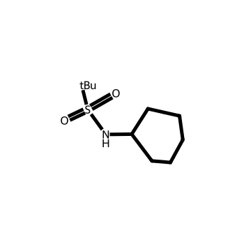 CC(C)(C)S(=O)(=O)NC1CCCCC1